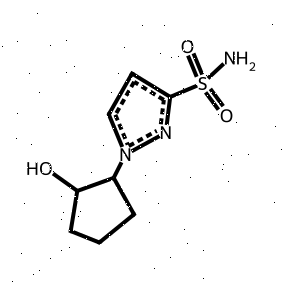 NS(=O)(=O)c1ccn(C2CCCC2O)n1